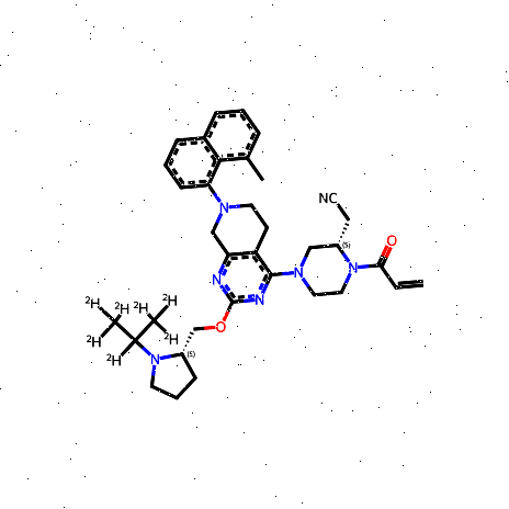 [2H]C([2H])([2H])C([2H])(N1CCC[C@H]1COc1nc2c(c(N3CCN(C(=O)C=C)[C@@H](CC#N)C3)n1)CCN(c1cccc3cccc(C)c13)C2)C([2H])([2H])[2H]